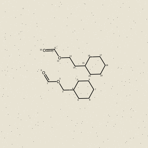 O=COCC1CCCCC1.O=COCCC1CCCCC1